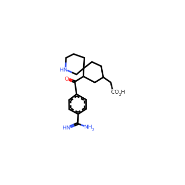 N=C(N)c1ccc(C(=O)C2CC(CC(=O)O)CCC23CCCNC3)cc1